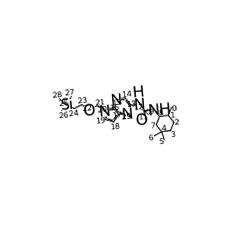 CC1CCC(C)(C)CC1NC(=O)Nc1cnc2c(ccn2COCC[Si](C)(C)C)n1